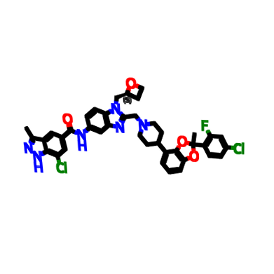 Cc1n[nH]c2c(Cl)cc(C(=O)Nc3ccc4c(c3)nc(CN3CCC(c5cccc6c5OC(C)(c5ccc(Cl)cc5F)O6)CC3)n4C[C@@H]3CCO3)cc12